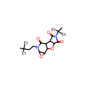 CCC(C)(CC)CCN1C(=O)C2C(OC3C(=O)N(C(C)(CC)CC)C(=O)C32)C2OC21